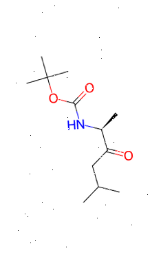 CC(C)CC(=O)[C@H](C)NC(=O)OC(C)(C)C